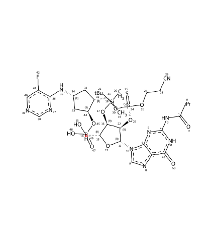 CC(C)C(=O)Nc1nc2c(ncn2[C@@H]2O[C@H](CO)[C@@H](O[Si](C)(C)C(C)(C)C)[C@H]2O[P@](=S)(OCCC#N)OC[C@H]2C[C@@H](Nc3ncncc3F)C[C@@H]2O[PH](=O)O)c(=O)[nH]1